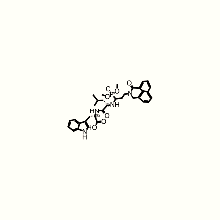 COP(=O)(OC)C(CCN1Cc2cccc3cccc(c23)C1=O)N[C@@H](CC(C)C)C(=O)N[C@@H](Cc1c[nH]c2ccccc12)C(=O)O